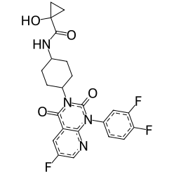 O=C(NC1CCC(n2c(=O)c3cc(F)cnc3n(-c3ccc(F)c(F)c3)c2=O)CC1)C1(O)CC1